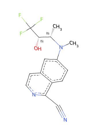 C[C@@H]([C@H](O)C(F)(F)F)N(C)c1ccc2c(C#N)nccc2c1